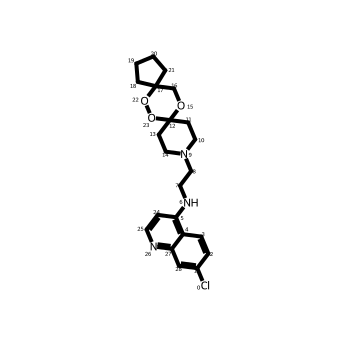 Clc1ccc2c(NCCN3CCC4(CC3)OCC3(CCCC3)OO4)ccnc2c1